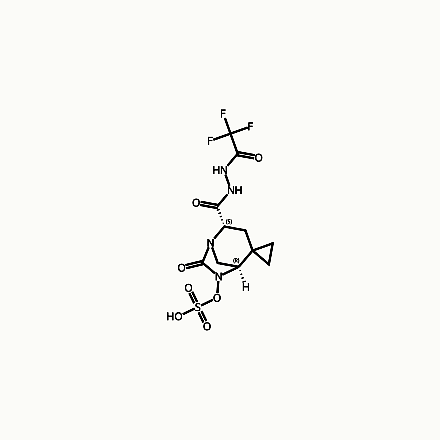 O=C(NNC(=O)C(F)(F)F)[C@@H]1CC2(CC2)[C@@H]2CN1C(=O)N2OS(=O)(=O)O